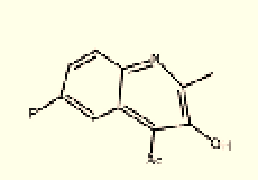 CC(=O)c1c(O)c(C)nc2ccc(F)cc12